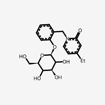 CCc1ccn(Cc2ccccc2O[C@@H]2O[C@H](CO)C(O)[C@H](O)C2O)c(=O)c1